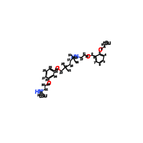 CC(C)(C)COc1ccccc1COCCNC(C)(C)CCC(C)(C)COc1cccc(OCCNC(C)(C)C)c1